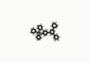 c1ccc(B2N(c3ccccc3)c3ccccc3N2c2ccc(-c3cc(-c4ccccc4)cc(-c4ccccc4)c3)cc2)cc1